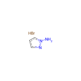 Br.Nn1cccn1